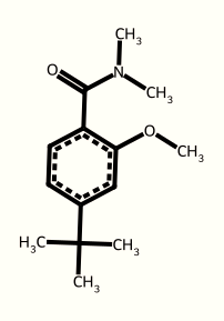 COc1cc(C(C)(C)C)ccc1C(=O)N(C)C